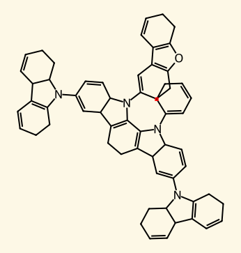 C1=CCCC(N2C3=C(CCC4=C3N(C3=Cc5c(oc6c5C=CCC6)CC3)C3C=CC(N5C6=C(C=CCC6)C6C=CCCC65)=CC43)C3C=C(N4C5=C(C=CCC5)C5C=CCCC54)C=CC32)=C1